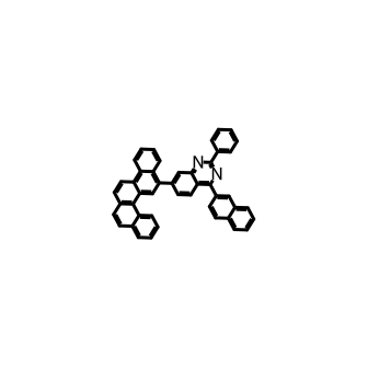 c1ccc(-c2nc(-c3ccc4ccccc4c3)c3ccc(-c4cc5c(ccc6ccc7ccccc7c65)c5ccccc45)cc3n2)cc1